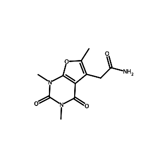 Cc1oc2c(c1CC(N)=O)c(=O)n(C)c(=O)n2C